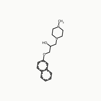 CN1CCN(CC(O)COc2ccc3ccccc3c2)CC1